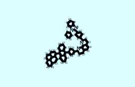 c1ccc(-n2c(-c3ccc(-c4ccc5ccc6ccc(-c7ccc(-c8c9ccccc9c(-c9ccc%10ccc%11cccc%12ccc9c%10c%11%12)c9ccccc89)cc7)nc6c5n4)cc3)nc3ccccc32)cc1